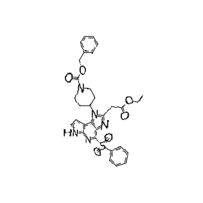 CCOC(=O)Cc1nc2c(S(=O)(=O)c3ccccc3)nc3[nH]ccc3c2n1C1CCN(C(=O)OCc2ccccc2)CC1